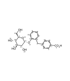 O=C(O)c1ccc(Cc2ccccc2O[C@H]2O[C@H](CO)[C@@H](O)[C@H](O)[C@H]2O)cc1